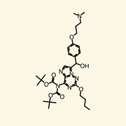 CCCCOc1nc(N(C(=O)OC(C)(C)C)C(=O)OC(C)(C)C)c2ncc(C(O)c3ccc(OCCCN(C)C)cc3)n2n1